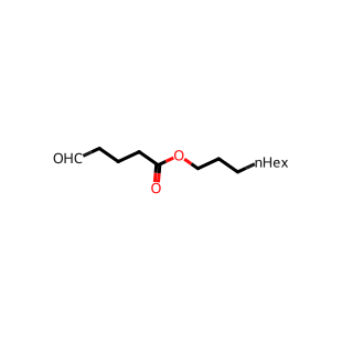 CCCCCCCCCOC(=O)CCCC=O